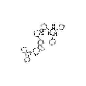 c1ccc(C2=NC(c3ccccc3)NC(c3cccc4c3sc3c(-c5ccc6oc7ccc(-n8c9ccccc9c9ccccc98)cc7c6c5)cccc34)=N2)cc1